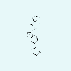 Cc1ccnc(-c2ccc3c(c2)CC[C@H]3NC(=O)c2ccnn2C)n1